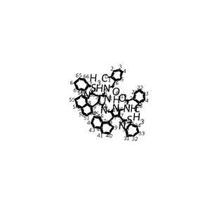 Cc1ccccc1C(=O)NC1=N/C(=N\c2[nH]c(NC(=O)c3ccccc3C)c(-c3nc4ccccc4s3)c2-c2cccc3ccccc23)C(c2cccc3ccccc23)=C1c1nc2ccccc2s1